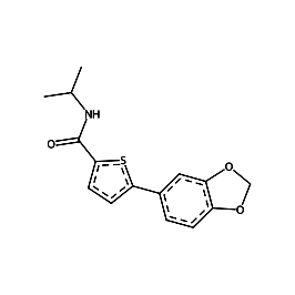 CC(C)NC(=O)c1ccc(-c2ccc3c(c2)OCO3)s1